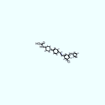 O=C(O)NC1CCN(c2ccc(/C=C/c3cc(Cl)cc(Cn4ccnc4)c3)cc2)CC1